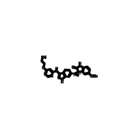 COc1ccc2c(c1)[C@]1(C[C@H]1c1ccc3c(Nc4cc(OCCO)ncn4)n[nH]c3c1)C(=O)N2